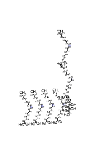 CCCCCCCC/C=C\CCCCCCCC(=O)O.CCCCCCCC/C=C\CCCCCCCC(=O)O.CCCCCCCC/C=C\CCCCCCCC(=O)O.CCCCCCCC/C=C\CCCCCCCC(=O)O.CCCCCCCC/C=C\CCCCCCCC(=O)O.CCCCCCCC/C=C\CCCCCCCC(=O)O.OC[C@@H](O)[C@@H](O)[C@H](O)[C@@H](O)C1OCCO1